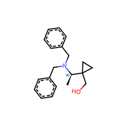 C[C@@H](N(Cc1ccccc1)Cc1ccccc1)C1(CO)CC1